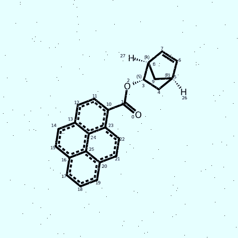 O=C(O[C@H]1C[C@@H]2C=C[C@H]1C2)c1ccc2ccc3cccc4ccc1c2c34